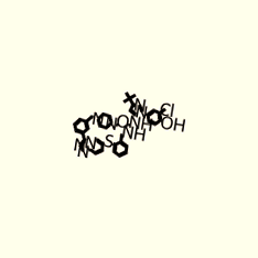 CN1CCN(Cc2cccc(-c3nnc4ccc(Sc5ccccc5CNC(=O)Nc5cc(C(C)(C)C)nn5-c5ccc(O)c(Cl)c5)cn34)c2)CC1